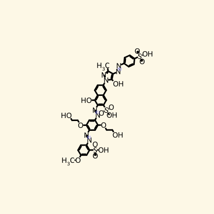 COc1ccc(/N=N/c2cc(OCCO)c(/N=N/c3c(S(=O)(=O)O)cc4cc(-n5nc(C)c(/N=N/c6ccc(S(=O)(=O)O)cc6)c5O)ccc4c3O)cc2OCCO)c(S(=O)(=O)O)c1